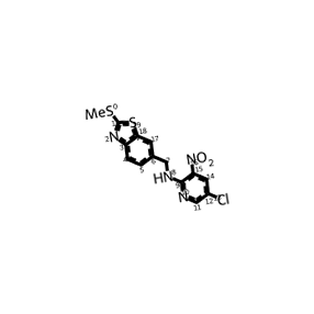 CSc1nc2ccc(CNc3ncc(Cl)cc3[N+](=O)[O-])cc2s1